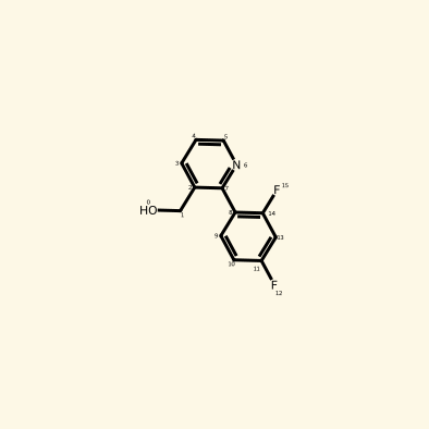 OCc1cccnc1-c1ccc(F)cc1F